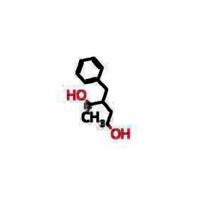 C[C@H](O)C(CCO)Cc1ccccc1